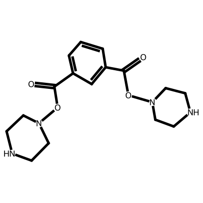 O=C(ON1CCNCC1)c1cccc(C(=O)ON2CCNCC2)c1